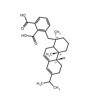 CC(C)C1=CC2=CCC3[C@@](C)(Cc4cccc(C(=O)O)c4C(=O)O)CCC[C@]3(C)[C@@H]2CC1